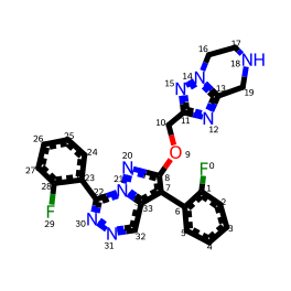 Fc1ccccc1-c1c(OCc2nc3n(n2)CCNC3)nn2c(-c3ccccc3F)nncc12